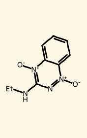 CCNc1n[n+]([O-])c2ccccc2[n+]1[O-]